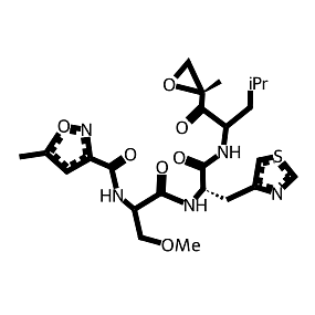 COCC(NC(=O)c1cc(C)on1)C(=O)N[C@@H](Cc1cscn1)C(=O)NC(CC(C)C)C(=O)[C@@]1(C)CO1